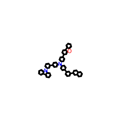 c1cc(-c2ccc(N(c3ccc(-c4cccc(-n5c6ccccc6c6ccccc65)c4)cc3)c3ccc(-c4ccc5c(c4)oc4ccccc45)cc3)cc2)cc(-c2ccc3ccccc3c2)c1